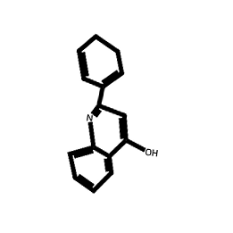 Oc1cc(C2=CCCC=C2)nc2ccccc12